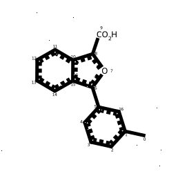 Cc1cccc(-c2oc(C(=O)O)c3ccccc23)c1